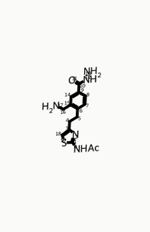 CC(=O)Nc1nc(CCc2ccc(C(=O)NN)cc2CN)cs1